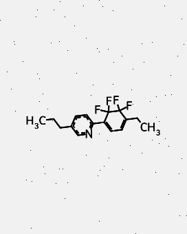 CCCc1ccc(C2=CC=C(CC)C(F)(F)C2(F)F)nc1